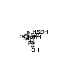 O=C(NOCC(O)CO)c1cc(COCCO)c(F)c(F)c1Nc1ccc(I)cc1F